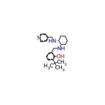 CC(C)(C)c1cccc(CN[C@@H]2CCCC[C@H]2NCc2ccncc2)c1O